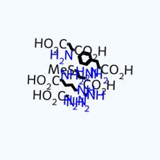 CSCCC(N)C(=O)O.N=C(N)NCCCC(N)C(=O)O.NC(CC(=O)O)C(=O)O.NC(Cc1ccccc1)C(=O)O.NCC(=O)O